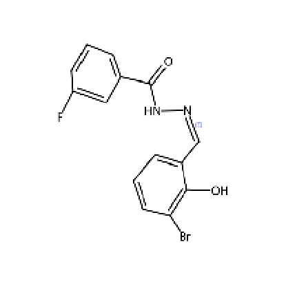 O=C(N/N=C\c1cccc(Br)c1O)c1cccc(F)c1